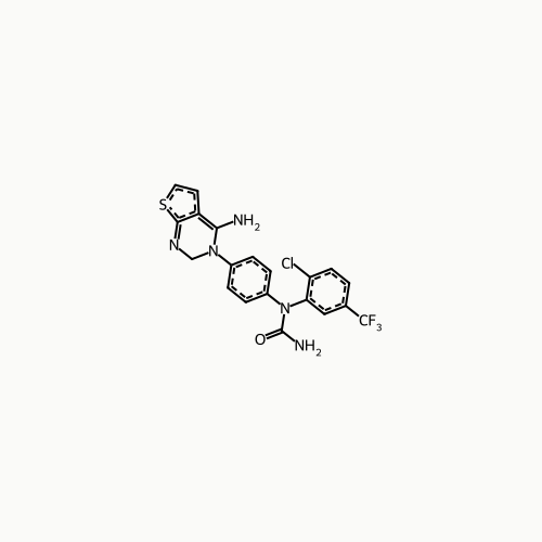 NC(=O)N(c1ccc(N2CN=c3sccc3=C2N)cc1)c1cc(C(F)(F)F)ccc1Cl